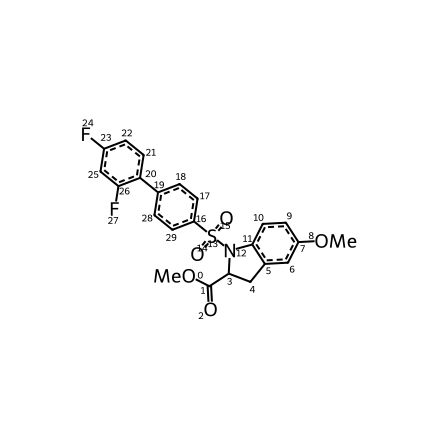 COC(=O)C1Cc2cc(OC)ccc2N1S(=O)(=O)c1ccc(-c2ccc(F)cc2F)cc1